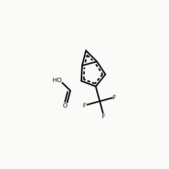 FC(F)(F)c1cc2cc-2c1.O=CO